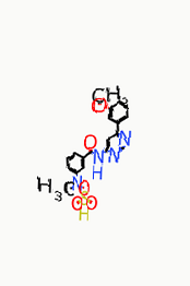 COc1cccc(-c2cc(NC(=O)c3cccc(N(C)O[SH](=O)=O)c3)ncn2)c1